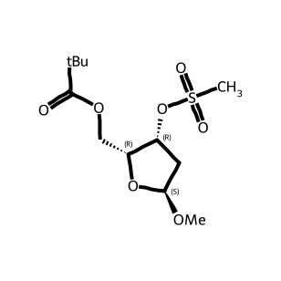 CO[C@@H]1C[C@@H](OS(C)(=O)=O)[C@@H](COC(=O)C(C)(C)C)O1